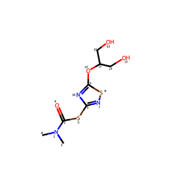 CN(C)C(=O)Sc1nsc(OC(CO)CO)n1